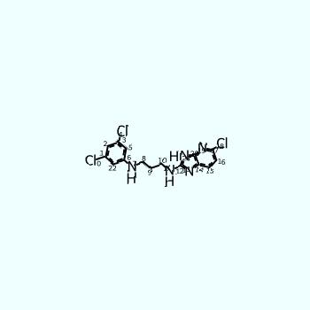 Clc1cc(Cl)cc(NCCCNc2nc3ccc(Cl)nc3[nH]2)c1